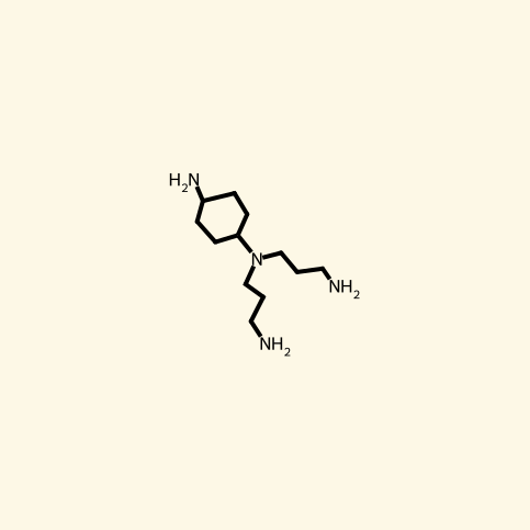 NCCCN(CCCN)C1CCC(N)CC1